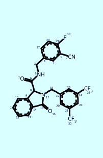 N#Cc1cc(CNC(=O)C2c3ccccc3C(=O)N2Cc2cc(C(F)(F)F)cc(C(F)(F)F)c2)ccc1F